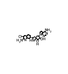 Nc1nc2cc([C@H]3C[C@@]4(CN3)C[C@@H](n3ccc5c(N)ncnc53)[C@H](O)[C@@H]4O)ccc2cc1Cl